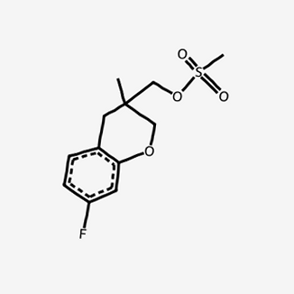 CC1(COS(C)(=O)=O)COc2cc(F)ccc2C1